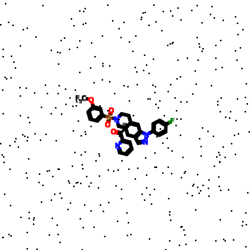 O=C(c1ccccn1)[C@]12Cc3cnn(-c4ccc(F)cc4)c3C=C1CCN(S(=O)(=O)c1cccc(OC(F)(F)F)c1)C2